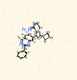 Cc1nc(-c2ccccc2)nc2cc(-c3nc(C4CCC4)n4ccnc(N)c34)ccc12